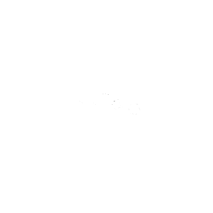 COC1CC2(CCN1CC=C(C)C)OCCc1c2cnn1-c1ccccc1